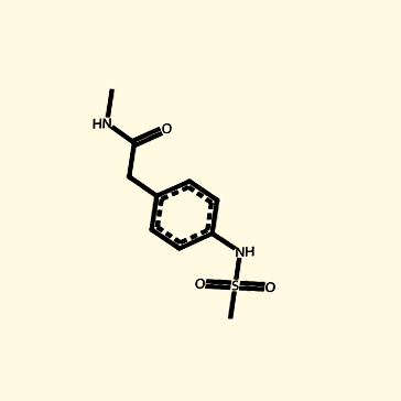 CNC(=O)Cc1ccc(NS(C)(=O)=O)cc1